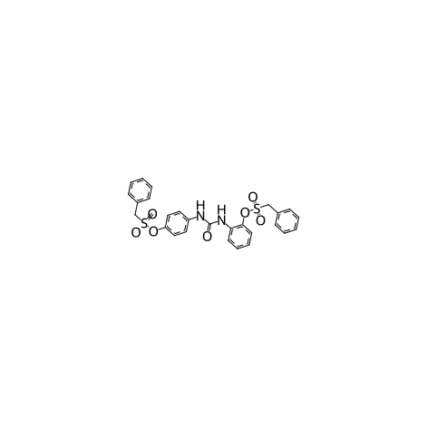 O=C(Nc1ccc(OS(=O)(=O)Cc2ccccc2)cc1)Nc1ccccc1OS(=O)(=O)Cc1ccccc1